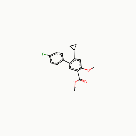 COC(=O)c1cc(-c2ccc(F)cc2)c(C2CC2)cc1OC